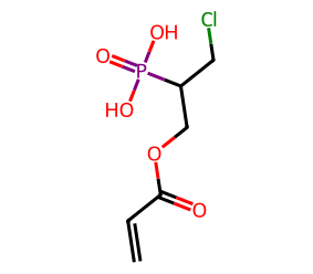 C=CC(=O)OCC(CCl)P(=O)(O)O